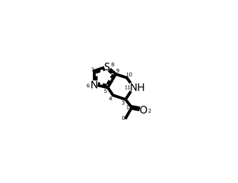 CC(=O)C1Cc2n[c]sc2CN1